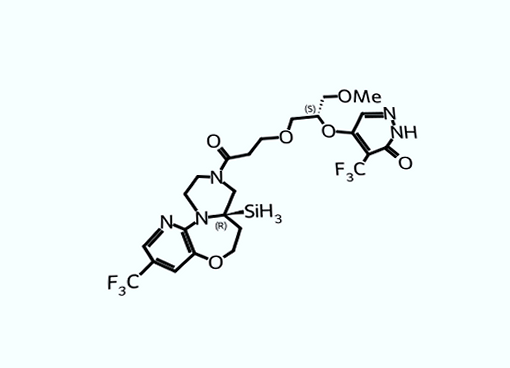 COC[C@@H](COCCC(=O)N1CCN2c3ncc(C(F)(F)F)cc3OCC[C@@]2([SiH3])C1)Oc1cn[nH]c(=O)c1C(F)(F)F